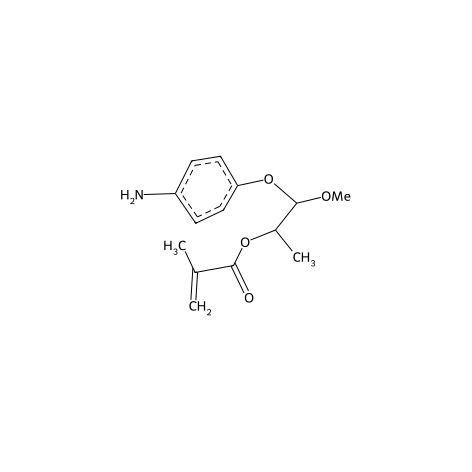 C=C(C)C(=O)OC(C)C(OC)Oc1ccc(N)cc1